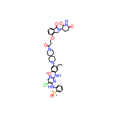 CCc1cc(Nc2ncc(Cl)c(Nc3ccccc3P(C)(C)=O)n2)c(OC)cc1N1CCC2(CCN(C(=O)CCOc3cccc4c3CN(C3CCC(=O)NC3=O)C4=O)CC2)CC1